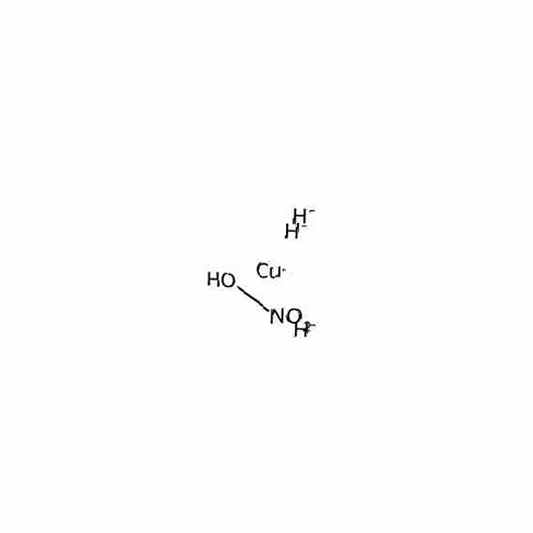 O=[N+]([O-])O.[Cu].[H-].[H-].[H-]